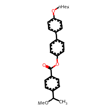 CCCCCCOc1ccc(-c2ccc(OC(=O)c3ccc(C(C)OC)cc3)cc2)cc1